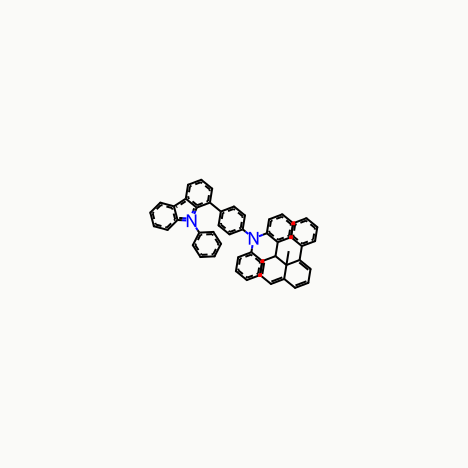 CC12C(=CC=CC1c1ccccc1N(c1ccccc1)c1ccc(-c3cccc4c5ccccc5n(-c5ccccc5)c34)cc1)C=CC=C2c1ccccc1